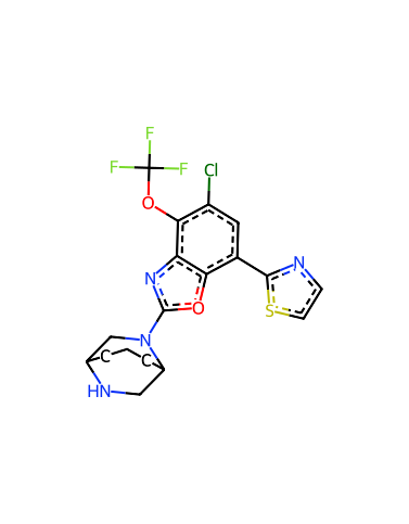 FC(F)(F)Oc1c(Cl)cc(-c2nccs2)c2oc(N3CC4CCCC3CN4)nc12